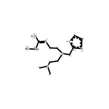 CN(C)CCN(CCN=C(N)NC#N)Cc1nccs1